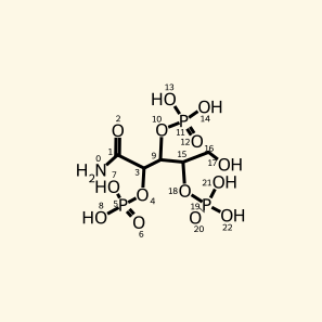 NC(=O)C(OP(=O)(O)O)C(OP(=O)(O)O)C(CO)OP(=O)(O)O